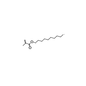 [CH2]CCCCCCCC[CH]OC(=O)C(=C)C